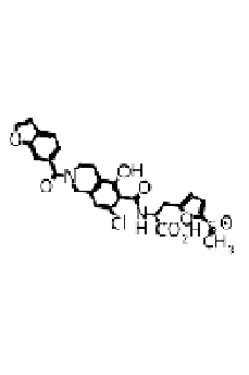 C[S+]([O-])c1ccc(C[C@H](NC(=O)c2c(Cl)cc3c(c2O)CCN(C(=O)c2ccc4ccoc4c2)C3)C(=O)O)o1